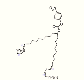 CCCCC/C=C\C/C=C\CCCCCCCCC(CCCCCCCC/C=C\C/C=C\CCCCC)OC(=O)Oc1ccc([N+](=O)[O-])cc1